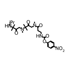 CC(C)NC(C)(C)C(=O)CN(C)C(C)(C)C(=O)CN(C)C(=O)CCNC(=O)Oc1ccc([N+](=O)[O-])cc1